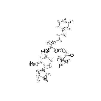 COc1cc(NC(=O)NCCCc2ccccc2)ccc1-n1cnc(C)c1.O=C(O)C(F)(F)F